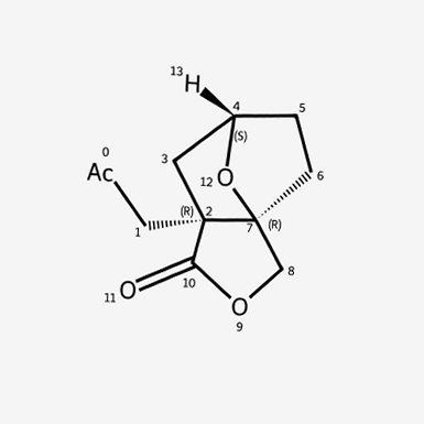 CC(=O)C[C@]12C[C@@H]3CC[C@@]1(COC2=O)O3